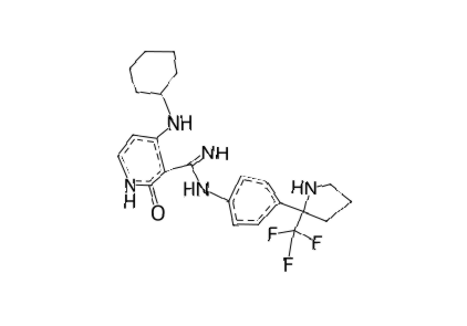 N=C(Nc1ccc(C2(C(F)(F)F)CCCN2)cc1)c1c(NC2CCCCC2)cc[nH]c1=O